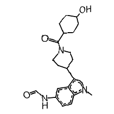 Cn1cc(C2CCN(C(=O)C3CCC(O)CC3)CC2)c2cc(NC=O)ccc21